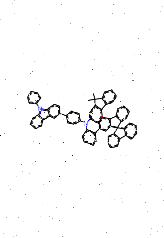 CC1(C)c2ccccc2-c2ccc(N(c3ccc(-c4ccc5c(c4)c4ccccc4n5-c4ccccc4)cc3)c3ccccc3-c3ccc4c(c3)C3(c5ccccc5-c5ccccc53)c3ccccc3-4)cc21